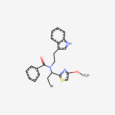 CC(C)CC(c1nc(OC(=O)O)cs1)N(CCc1c[nH]c2ccccc12)C(=O)c1ccccc1